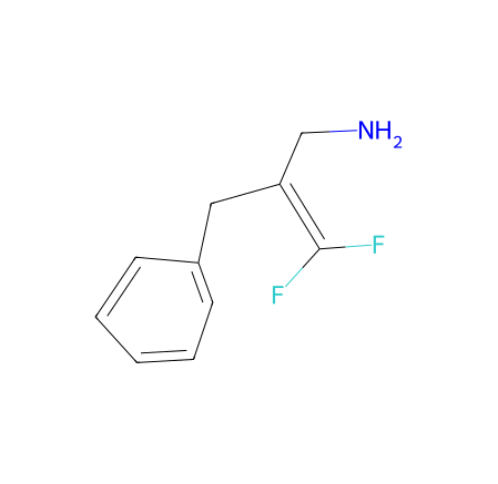 NCC(Cc1ccccc1)=C(F)F